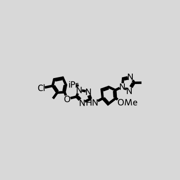 COc1cc(Nc2nc(Oc3cccc(Cl)c3C)n(C(C)C)n2)ccc1-n1cnc(C)n1